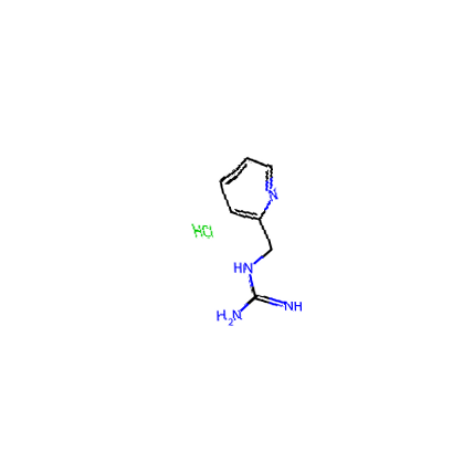 Cl.N=C(N)NCc1ccccn1